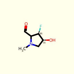 CN1C[C@H](O)[C@H](F)C1C=O